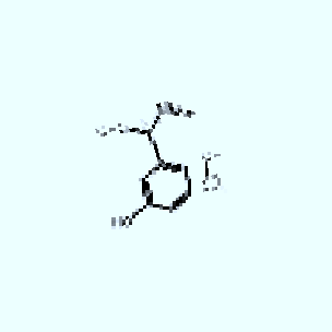 CN[C@H](C=O)c1cccc(O)c1.O=S(=O)(O)O